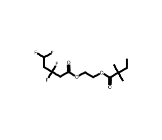 CCC(C)(C)C(=O)OCCOC(=O)CC(F)(F)CC(F)F